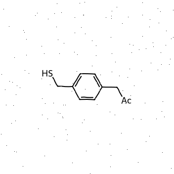 CC(=O)Cc1ccc(CS)cc1